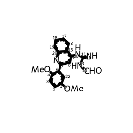 COc1ccc(OC)c(-c2cc(NC(=N)NC=O)c3ccccc3n2)c1